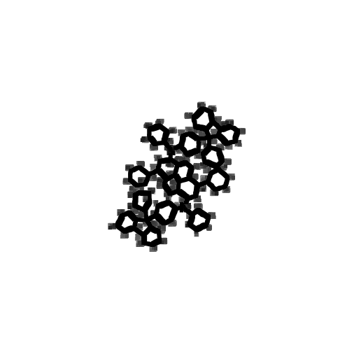 c1ccc(N(c2ccc(C3(c4ccccc4)c4ccccc4-c4ccccc43)cc2)c2cc(C3CCCCC3)c3ccc4c(N(c5ccccc5)c5ccc(C6(c7ccccc7)c7ccccc7-c7ccccc76)cc5)cc(C5CCCCC5)c5ccc2c3c54)cc1